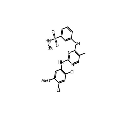 COc1cc(Nc2ncc(C)c(Nc3cccc(S(=O)(=O)NC(C)(C)C)c3)n2)c(Cl)cc1Cl